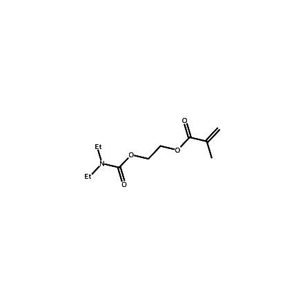 C=C(C)C(=O)OCCOC(=O)N(CC)CC